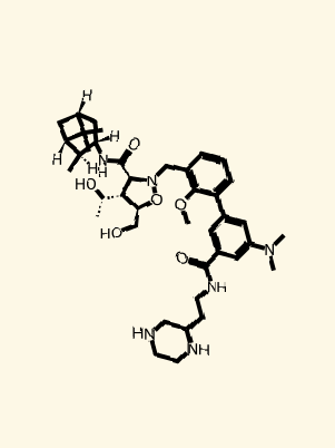 COc1c(CN2O[C@@H](CO)[C@H]([C@H](C)O)[C@H]2C(=O)N[C@H]2C[C@H]3C[C@@H]([C@@H]2C)C3(C)C)cccc1-c1cc(C(=O)NCCC2CNCCN2)cc(N(C)C)c1